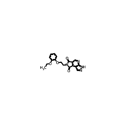 CCOc1ccccc1OCCN1C(=O)c2cnc3[nH]ncc3c2C1=O